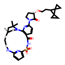 CC1(C)C[C@@H]2CCCNc3cccc(n3)S(=O)(=O)NC(=O)c3ccc(N4CC[C@H](OCCC5C6(CC6)C56CC6)C4=O)nc3N1C2